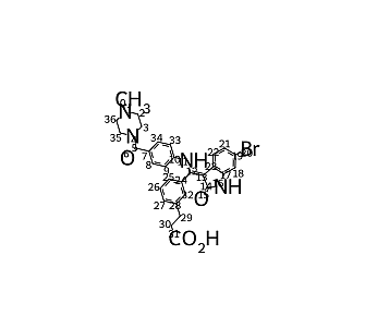 CN1CCN(C(=O)c2ccc(NC(=C3C(=O)Nc4cc(Br)ccc43)c3cccc(CCC(=O)O)c3)cc2)CC1